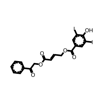 O=C(C=CCOC(=O)c1cc(I)c(O)c(I)c1)OCC(=O)c1ccccc1